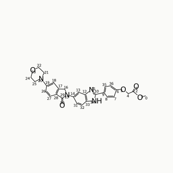 COC(=O)COc1ccc(-c2nc3cc(N4Cc5cc(N6CCOCC6)ccc5C4=O)ccc3[nH]2)cc1